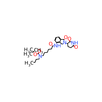 CCCCN(CCCCCC(=O)Nc1cccc2c1CN(C1CCC(=O)NC1=O)C2=O)C(=O)OC(C)(C)C